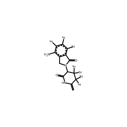 [2H]c1c([2H])c(N)c2c(c1[2H])C(=O)N(C1C(=O)NC(=C)C([2H])([2H])C1([2H])[2H])C2